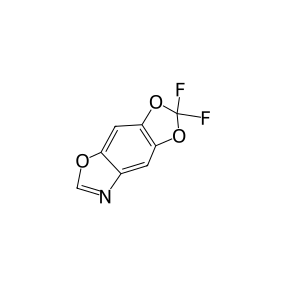 FC1(F)Oc2cc3ncoc3cc2O1